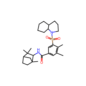 Cc1cc(C(=O)NC2C3(C)CCC(C3)C2(C)C)cc(S(=O)(=O)N2CCCC3CCCCC32)c1C